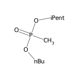 CCCCOP(C)(=O)OC(C)CCC